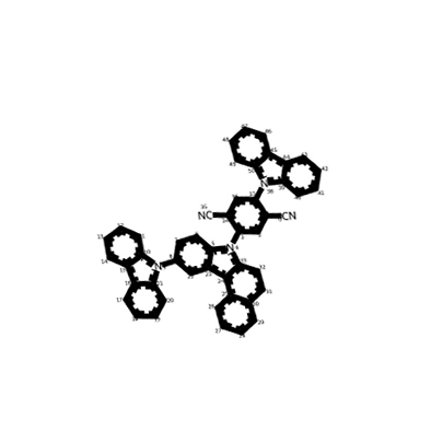 N#Cc1cc(-n2c3ccc(-n4c5ccccc5c5ccccc54)cc3c3c4ccccc4ccc32)c(C#N)cc1-n1c2ccccc2c2ccccc21